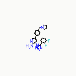 Nc1ncc(-c2ccc(CN3CCCC3)cc2)cc1-n1nnnc1-c1cccc(F)c1F